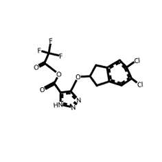 O=C(OC(=O)C(F)(F)F)c1[nH]nnc1OC1Cc2cc(Cl)c(Cl)cc2C1